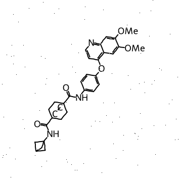 COc1cc2nccc(Oc3ccc(NC(=O)C45CCC(C(=O)NC67CC(C6)C7)(CC4)CC5)cc3)c2cc1OC